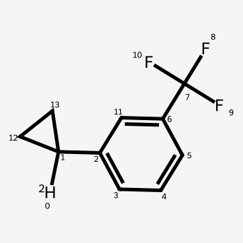 [2H]C1(c2cccc(C(F)(F)F)c2)CC1